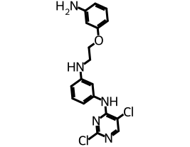 Nc1cccc(OCCNc2cccc(Nc3nc(Cl)ncc3Cl)c2)c1